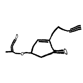 C#CCC1=CC(OC(C)=O)CC1=O